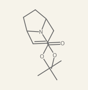 COC1=CC2CCC(C1)N2C(=O)OC(C)(C)C